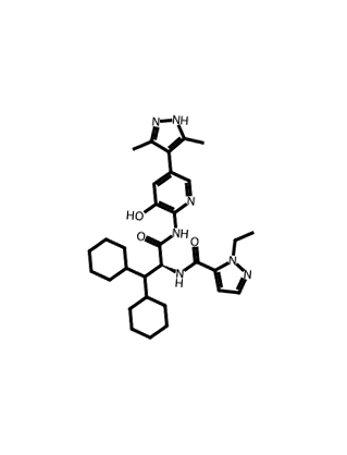 CCn1nccc1C(=O)N[C@H](C(=O)Nc1ncc(-c2c(C)n[nH]c2C)cc1O)C(C1CCCCC1)C1CCCCC1